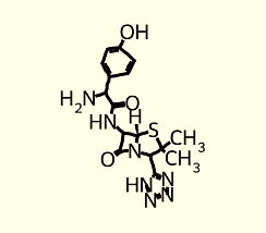 CC1(C)S[C@H]2C(NC(=O)C(N)c3ccc(O)cc3)C(=O)N2C1c1nnn[nH]1